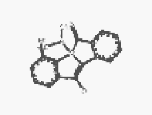 CCC1=C2c3ccccc3C(=O)[N+]2(N(C)C)c2c(CC)cccc21